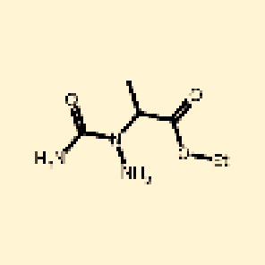 CCOC(=O)C(C)N(N)C(N)=O